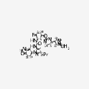 CC(C)c1cc(NC(=O)Nc2cc(Oc3nccc(-c4cnn(C)c4)n3)ccc2F)n(-c2ccc3ocnc3c2)n1